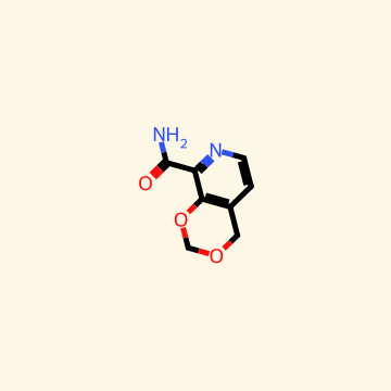 NC(=O)c1nccc2c1OCOC2